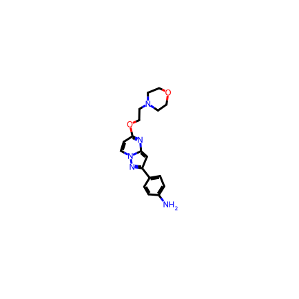 Nc1ccc(-c2cc3nc(OCCN4CCOCC4)ccn3n2)cc1